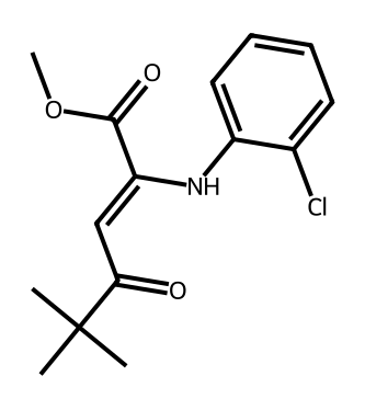 COC(=O)/C(=C/C(=O)C(C)(C)C)Nc1ccccc1Cl